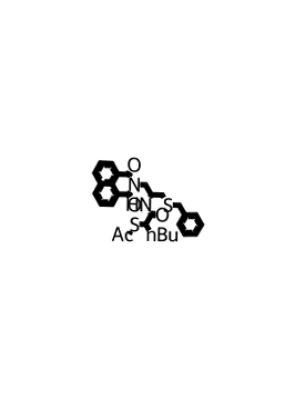 CCCCC(SC(C)=O)C(=O)NC(CSCc1ccccc1)CN1C(=O)c2cccc3cccc(c23)C1=O